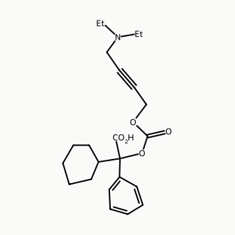 CCN(CC)CC#CCOC(=O)OC(C(=O)O)(c1ccccc1)C1CCCCC1